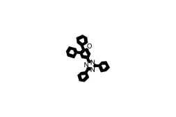 c1ccc(-c2nc(-c3ccccc3)nc(-c3cc(-c4ccccc4)c4c(c3)oc3ccccc34)n2)cc1